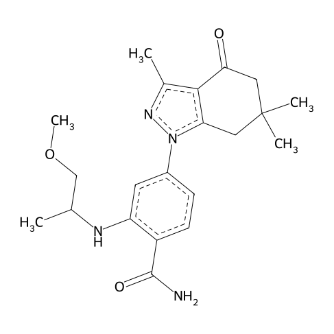 COCC(C)Nc1cc(-n2nc(C)c3c2CC(C)(C)CC3=O)ccc1C(N)=O